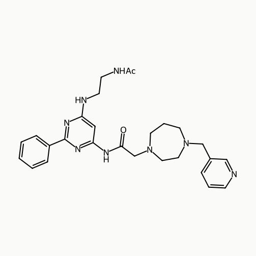 CC(=O)NCCNc1cc(NC(=O)CN2CCCN(Cc3cccnc3)CC2)nc(-c2ccccc2)n1